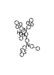 Cc1ccccc1-c1c(-c2ccc(N(c3ccc(-c4ccccc4)cc3)c3ccc4c(c3)Sc3ccccc3S4)cc2)ccc(N(c2ccc3c(c2)Oc2ccccc2O3)c2ccc3c(c2)Oc2ccccc2O3)c1S